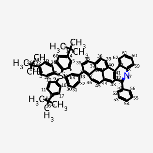 CC(C)(C)c1ccc([Si](c2ccc(C(C)(C)C)cc2)(c2ccc(C(C)(C)C)cc2)c2cccc(-c3ccc4ccc5c6c(cc7ccc3c4c75)c(-c3ccccc3)nc3ccccc36)c2)cc1